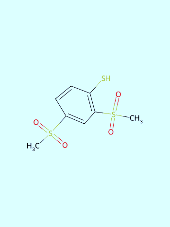 CS(=O)(=O)c1ccc(S)c(S(C)(=O)=O)c1